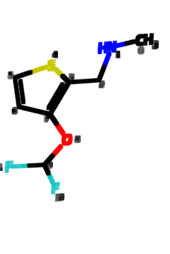 CNCc1sccc1OC(F)F